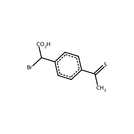 CC(=S)c1ccc(C(Br)C(=O)O)cc1